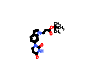 CC(C)(C)OC(=O)CCn1ccc2ccc(N3CCC(=O)NC3=O)cc21